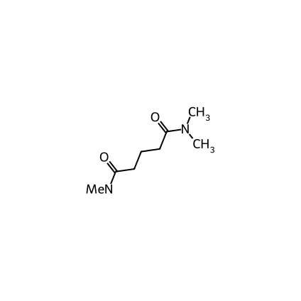 CNC(=O)CCCC(=O)N(C)C